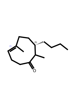 CCCC[C@H]1CC/C(C)=C/CCC(=O)C1C